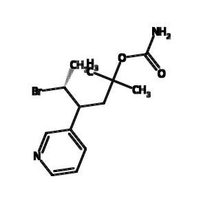 C[C@@H](Br)C(CC(C)(C)OC(N)=O)c1cccnc1